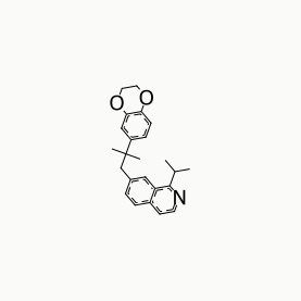 CC(C)c1nccc2ccc(CC(C)(C)c3ccc4c(c3)OCCO4)cc12